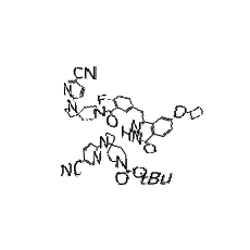 CC(C)(C)OC(=O)N1CCC2(CC1)CCN2c1ccc(C#N)cn1.N#Cc1ccc(N2CCC23CCN(C(=O)c2cc(Cc4n[nH]c(=O)c5ccc(OC6CCC6)cc45)ccc2F)CC3)nc1